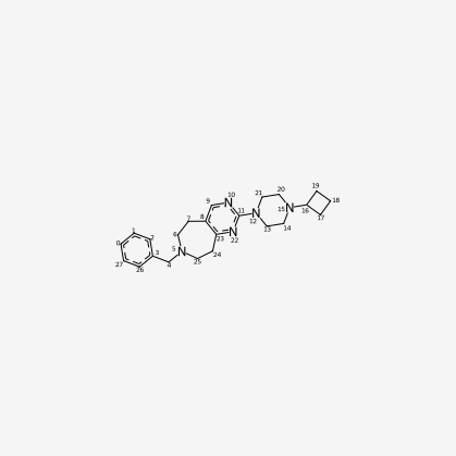 c1ccc(CN2CCc3cnc(N4CCN(C5CCC5)CC4)nc3CC2)cc1